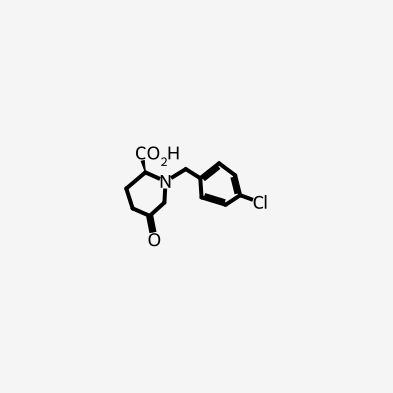 O=C1CC[C@@H](C(=O)O)N(Cc2ccc(Cl)cc2)C1